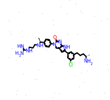 C[C@H](N)CCCc1cc(Cl)cc(-c2cc3cn(-c4ccc([C@H](C)NCCCNC(=N)N)cc4)c(=O)nc3[nH]2)c1